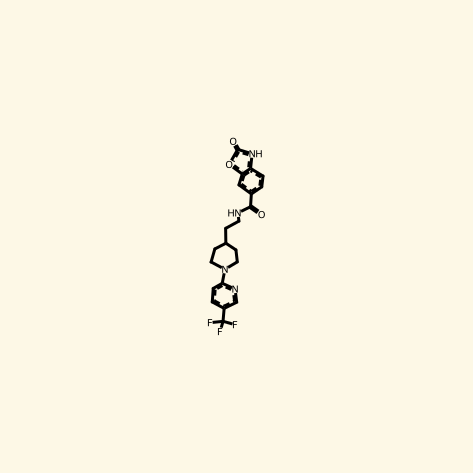 O=C(NCCC1CCN(c2ccc(C(F)(F)F)cn2)CC1)c1ccc2[nH]c(=O)oc2c1